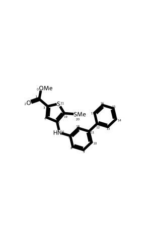 COC(=O)c1cc(Nc2cccc(-c3ccccc3)c2)c(SC)s1